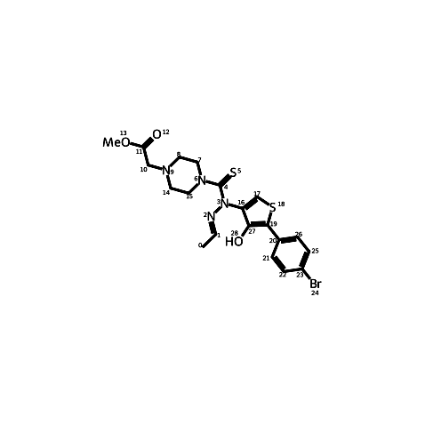 CC=NN(C(=S)N1CCN(CC(=O)OC)CC1)c1csc(-c2ccc(Br)cc2)c1O